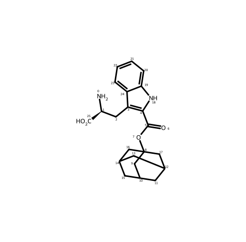 N[C@@H](Cc1c(C(=O)OC23CC4CC(CC(C4)C2)C3)[nH]c2ccccc12)C(=O)O